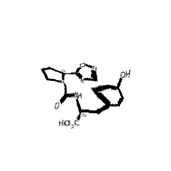 O=C(O)[C@H](Cc1ccc(O)cc1)NC(=O)N1CCC[C@H]1c1ncno1